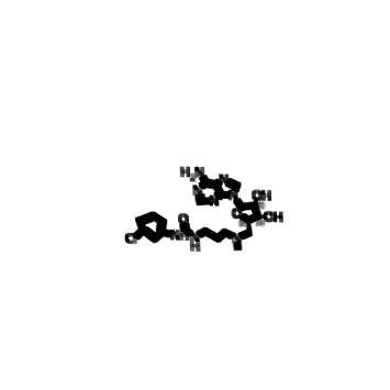 CN(CCCNC(=O)Nc1cccc(Cl)c1)C[C@H]1OC(n2cnc3c(N)ncnc32)[C@H](O)[C@@H]1O